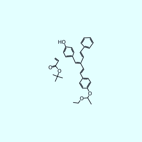 C=CC(=O)OC(C)(C)C.CCOC(C)Oc1ccc(C=CC(C=Cc2ccccc2)=Cc2ccc(O)cc2)cc1